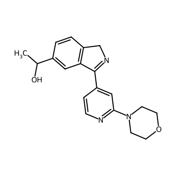 CC(O)c1ccc2c(c1)C(c1ccnc(N3CCOCC3)c1)=NC2